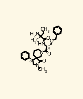 CC[C@@](C)(N)C(=O)N[C@H](COCc1ccccc1)C(=O)N1CCCC2(C1)C(=O)N(C)C[C@H]2c1ccccc1